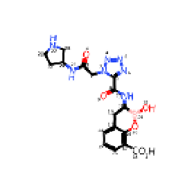 O=C(Cn1nnnc1C(=O)NC1Cc2cccc(C(=O)O)c2OB1O)NC1CCNC1